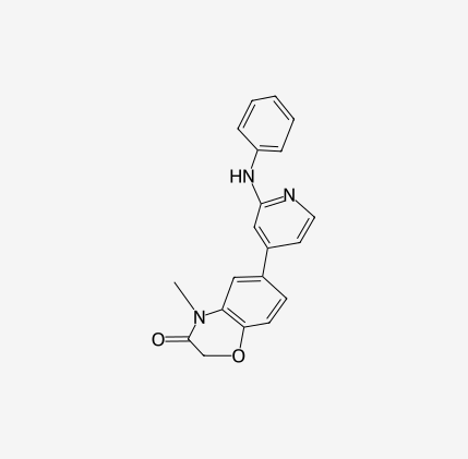 CN1C(=O)COc2ccc(-c3ccnc(Nc4ccccc4)c3)cc21